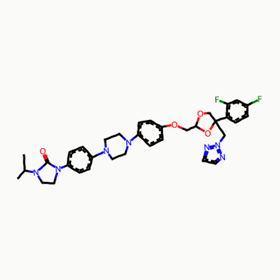 CC(C)N1CCN(c2ccc(N3CCN(c4ccc(OCC5OCC(Cn6nccn6)(c6ccc(F)cc6F)O5)cc4)CC3)cc2)C1=O